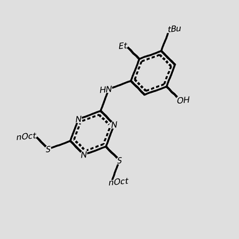 CCCCCCCCSc1nc(Nc2cc(O)cc(C(C)(C)C)c2CC)nc(SCCCCCCCC)n1